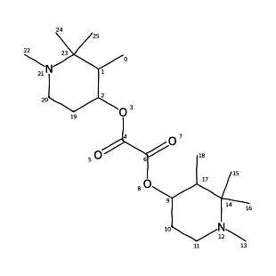 CC1C(OC(=O)C(=O)OC2CCN(C)C(C)(C)C2C)CCN(C)C1(C)C